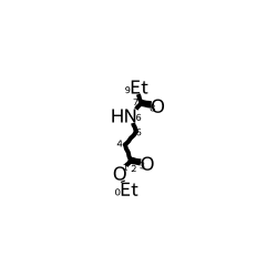 CCOC(=O)CCNC(=O)CC